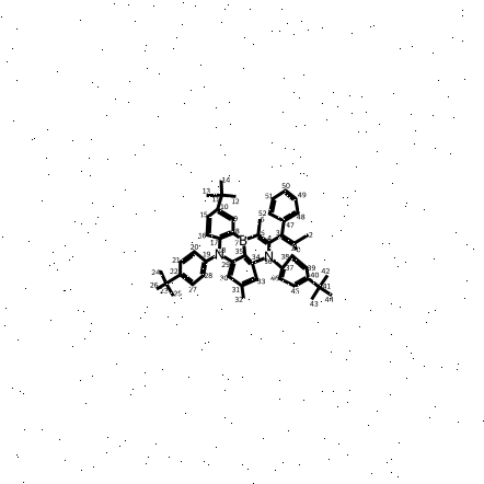 CC(C)=C(C1=C(C)B2c3cc(C(C)(C)C)ccc3N(c3ccc(C(C)(C)C)cc3)c3cc(C)cc(c32)N1c1ccc(C(C)(C)C)cc1)c1ccccc1